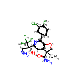 C[C@]1(C(N)=O)COc2c1cc([C@@](O)(CN)C(F)(F)F)nc2-c1ccc(F)c(Cl)c1